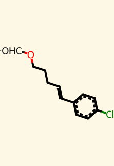 O=[C]OCCCC=Cc1ccc(Cl)cc1